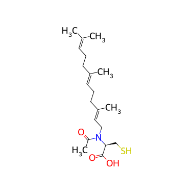 CC(=O)N(C/C=C(\C)CC/C=C(\C)CCC=C(C)C)[C@@H](CS)C(=O)O